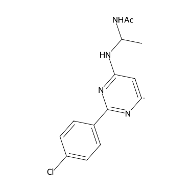 CC(=O)NC(C)Nc1c[c]nc(-c2ccc(Cl)cc2)n1